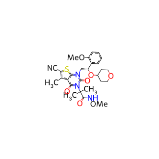 CONC(=O)C(C)(C)n1c(=O)c2c(C)c(C#N)sc2n(C[C@H](OC2CCOCC2)c2ccccc2OC)c1=O